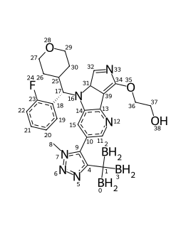 BC(B)(B)c1nnn(C)c1-c1cnc2c(c1)N([C@H](c1ccccc1F)C1CCOCC1)C1C=NC(OCCO)=C21